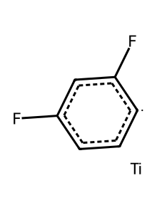 Fc1[c]ccc(F)c1.[Ti]